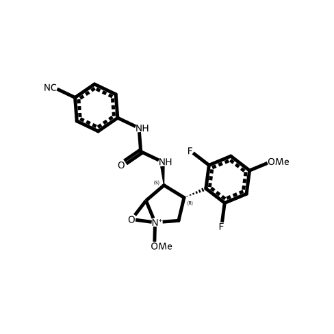 COc1cc(F)c([C@@H]2C[N+]3(OC)OC3[C@H]2NC(=O)Nc2ccc(C#N)cc2)c(F)c1